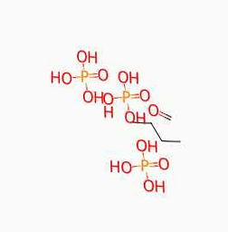 C=O.CCCC.O=P(O)(O)O.O=P(O)(O)O.O=P(O)(O)O